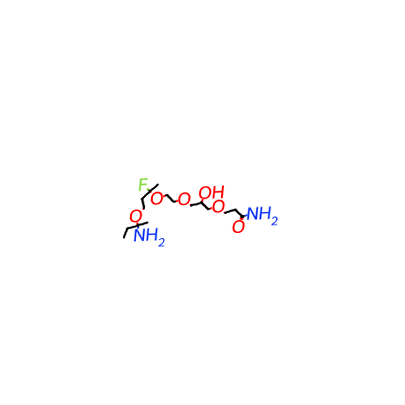 CCC(C)(N)OCCC(C)(F)OCCOCC(O)COCCC(N)=O